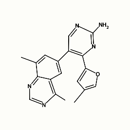 Cc1coc(-c2nc(N)ncc2-c2cc(C)c3ncnc(C)c3c2)c1